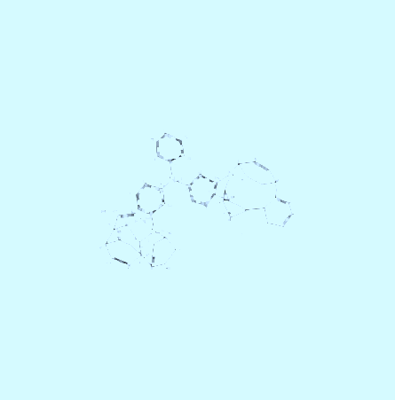 C1=CCC2C(=C1)C1C=CC(CC1)N1C3=CC=C[C@H]2C3c2ccc(N(c3ccccc3)c3cccc(N4C5CC=C(CC5)C56C=CC(CC5)[C@@H]5C=CC[C@]46C5)c3)cc21